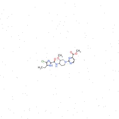 CCc1[nH]c(C(=O)NC2CCN(c3nccc(C(=O)OC)n3)CC2OC)nc1Cl